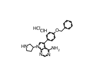 Cl.Cl.Nc1ncnc2c1c(-c1ccc(OCc3ccccc3)cc1)cn2C1CCNC1